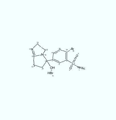 Br.CC(=O)NS(=O)(=O)c1cc(C2(O)CSC3=NCCN32)ccc1Br